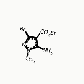 CCOC(=O)c1c(Br)nn(C)c1N